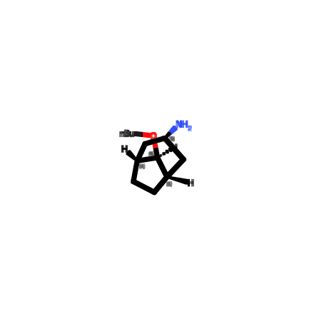 CCCCO[C@@H]1[C@@H]2CC[C@H]1C[C@H](N)C2